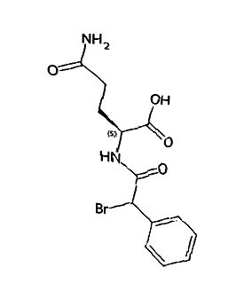 NC(=O)CC[C@H](NC(=O)C(Br)c1ccccc1)C(=O)O